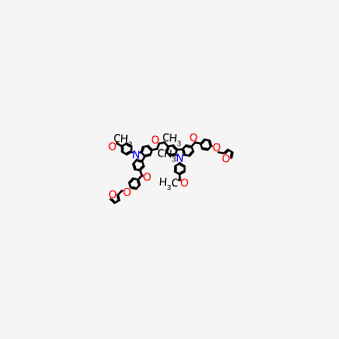 CC(=O)c1ccc(-n2c3ccc(C(=O)c4ccc(OCc5ccco5)cc4)cc3c3cc(C(C)C(=O)C(C)c4ccc5c(c4)c4cc(C(=O)c6ccc(OCc7ccco7)cc6)ccc4n5-c4ccc(C(C)=O)cc4)ccc32)cc1